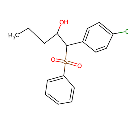 CCCC(O)C(c1ccc(Cl)cc1)S(=O)(=O)c1ccccc1